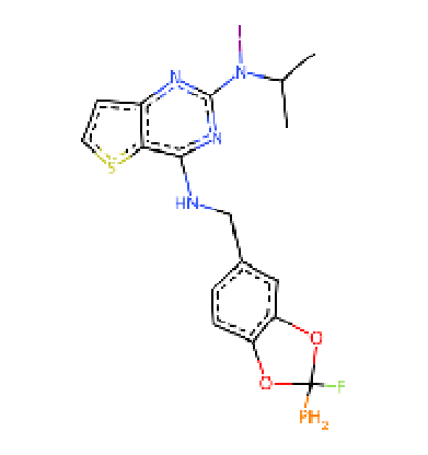 CC(C)N(I)c1nc(NCc2ccc3c(c2)OC(F)(P)O3)c2sccc2n1